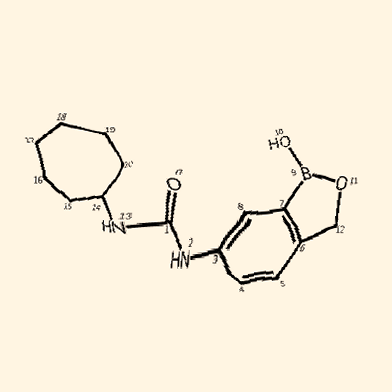 O=C(Nc1ccc2c(c1)B(O)OC2)NC1CCCCCC1